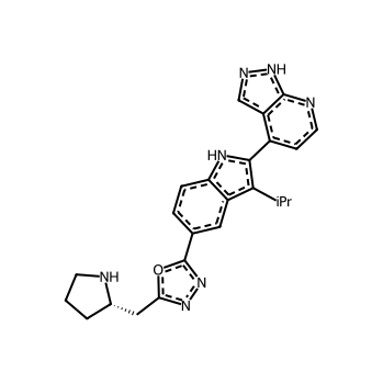 CC(C)c1c(-c2ccnc3[nH]ncc23)[nH]c2ccc(-c3nnc(C[C@@H]4CCCN4)o3)cc12